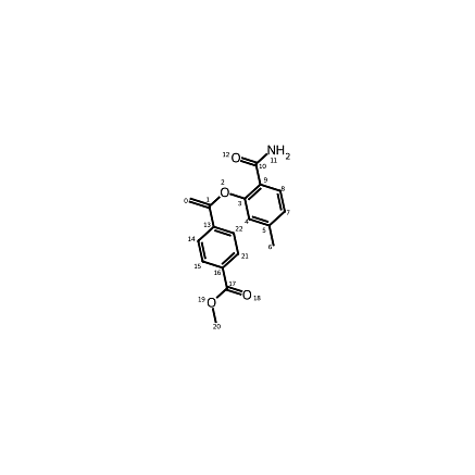 C=C(Oc1cc(C)ccc1C(N)=O)c1ccc(C(=O)OC)cc1